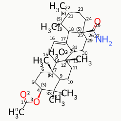 CC(=O)O[C@H]1CC[C@@]2(C)C(CC[C@]3(C)C2CC=C2C4[C@@H](C)[C@H](C)CC[C@]4(C(N)=O)CC[C@]23C)C1(C)C